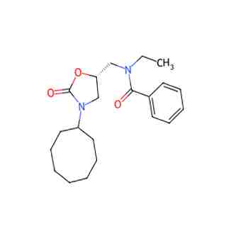 CCN(C[C@@H]1CN(C2CCCCCCC2)C(=O)O1)C(=O)c1ccccc1